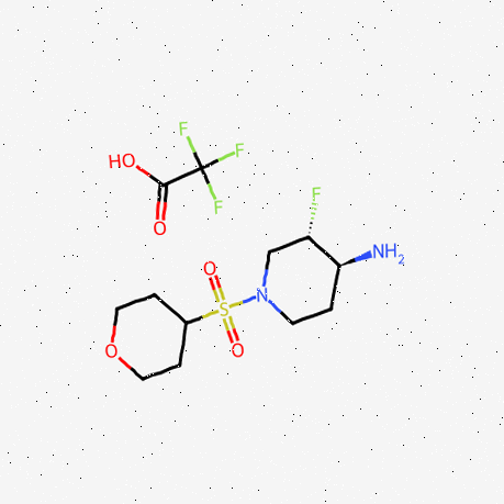 N[C@H]1CCN(S(=O)(=O)C2CCOCC2)C[C@@H]1F.O=C(O)C(F)(F)F